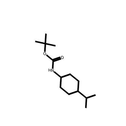 CC(C)C1CCC(NC(=O)OC(C)(C)C)CC1